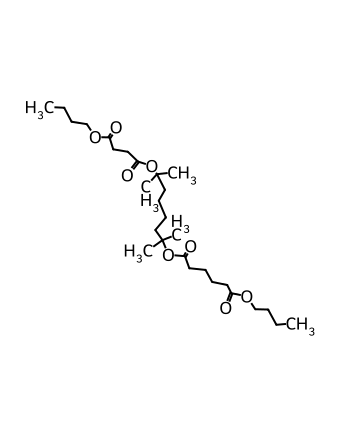 CCCCOC(=O)CCCCC(=O)OC(C)(C)CCCCC(C)(C)OC(=O)CCC(=O)OCCCC